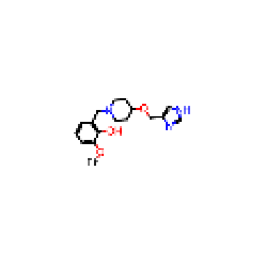 CCOc1cccc(CN2CCC(OCc3c[nH]cn3)CC2)c1O